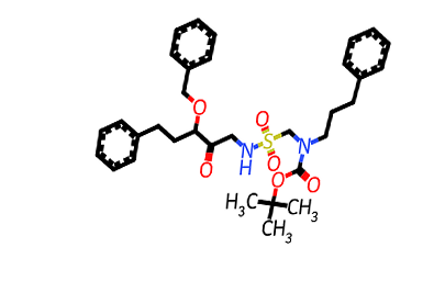 CC(C)(C)OC(=O)N(CCCc1ccccc1)CS(=O)(=O)NCC(=O)C(CCc1ccccc1)OCc1ccccc1